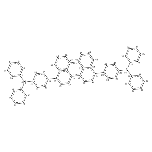 c1ccc(N(c2ccccc2)c2ccc(-c3ccc4c5ccc(-c6ccc(N(c7ccccc7)c7ccccc7)cc6)c6cccc(c7cccc3c74)c65)cc2)cc1